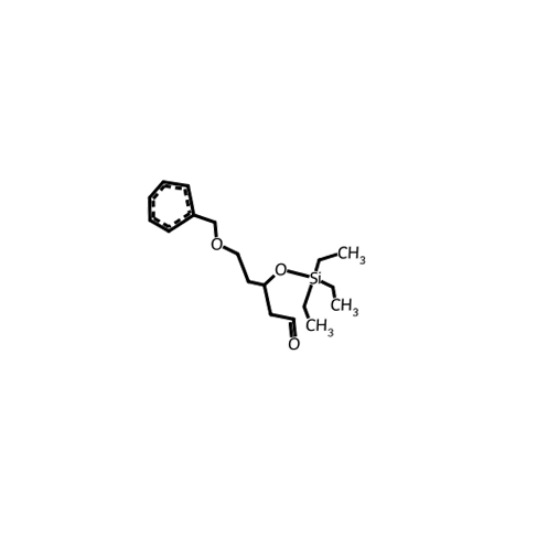 CC[Si](CC)(CC)OC(CC=O)CCOCc1ccccc1